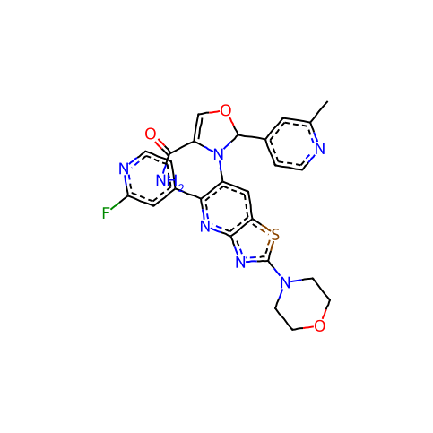 Cc1cc(C2OC=C(C(N)=O)N2c2cc3sc(N4CCOCC4)nc3nc2-c2ccnc(F)c2)ccn1